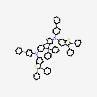 c1ccc(-c2ccc(N(c3ccc4c(c3)C(c3ccccc3)(c3ccccc3)c3cc(N(c5ccc(-c6ccccc6)cc5)c5ccc6c(-c7ccccc7)c(-c7ccccc7)sc6c5)ccc3-4)c3ccc4c(-c5ccccc5)c(-c5ccccc5)sc4c3)cc2)cc1